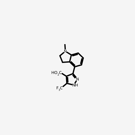 CN1CCc2c(-c3n[nH]c(C(F)(F)F)c3C(=O)O)cccc21